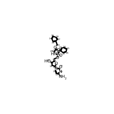 C[C@H](NP(=O)(OC[C@H]1O[C@@H](n2ccc(N)nc2=O)CC1O)Oc1ccccc1)C(=O)OCc1ccccc1